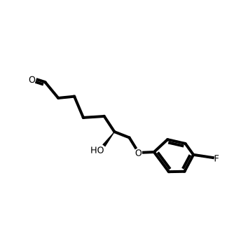 O=CCCCC[C@H](O)COc1ccc(F)cc1